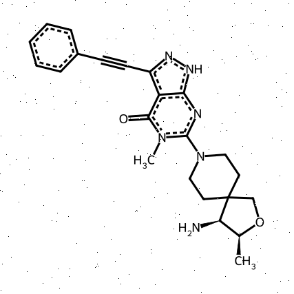 C[C@@H]1OCC2(CCN(c3nc4[nH]nc(C#Cc5ccccc5)c4c(=O)n3C)CC2)[C@@H]1N